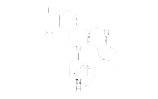 Cc1sc2ncnc(N(Cc3cccc(F)c3O)C3CCNCC3)c2c1-c1ccccc1